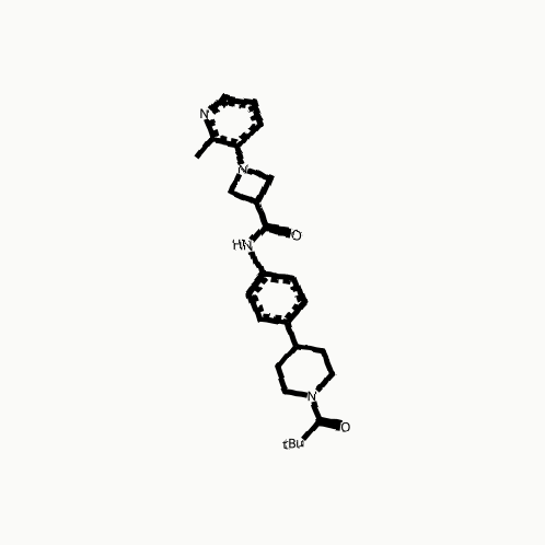 Cc1ncccc1N1CC(C(=O)Nc2ccc(C3CCN(C(=O)C(C)(C)C)CC3)cc2)C1